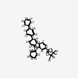 CC1(C)OB(c2ccc3c4cc(-c5ccc(-c6ccccc6)cc5)ccc4n(-c4ccccc4)c3c2)OC1(C)C